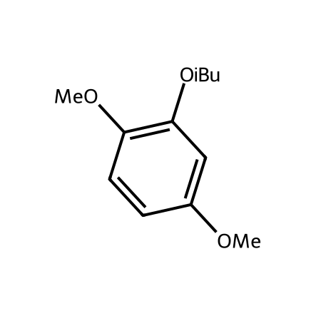 COc1ccc(OC)c(OCC(C)C)c1